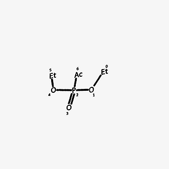 CCOP(=O)(OCC)C(C)=O